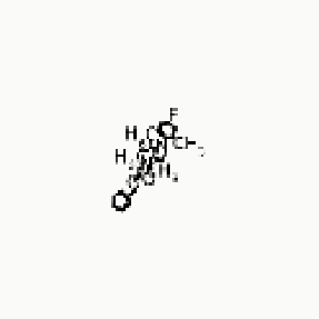 Cc1cc(F)cc(C)c1N1CCC([N+](C)(C)CC(=O)OCc2ccccc2)C1=O